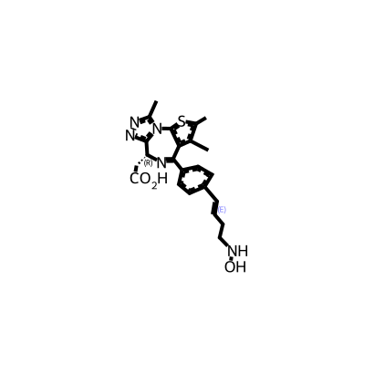 Cc1sc2c(c1C)C(c1ccc(/C=C/CCNO)cc1)=N[C@H](CC(=O)O)c1nnc(C)n1-2